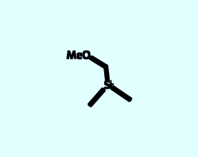 COC[Si](C)C